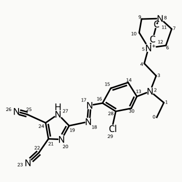 CCN(CC[N+]12CCN(CC1)CC2)c1ccc(/N=N/c2nc(C#N)c(C#N)[nH]2)c(Cl)c1